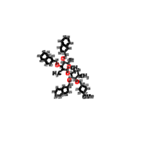 CCC1OC(OC2C(C)CC(C)C(OCc3ccc(OC)cc3)C2OCc2ccc3ccccc3c2)C(C)C(OCc2ccc3ccccc3c2)C1OCc1ccc2ccccc2c1